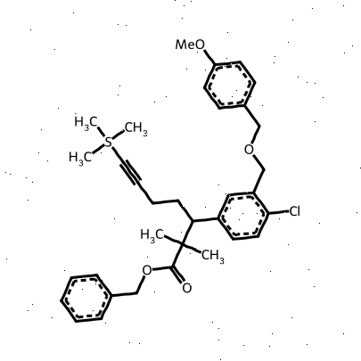 COc1ccc(COCc2cc(C(CCC#CS(C)(C)C)C(C)(C)C(=O)OCc3ccccc3)ccc2Cl)cc1